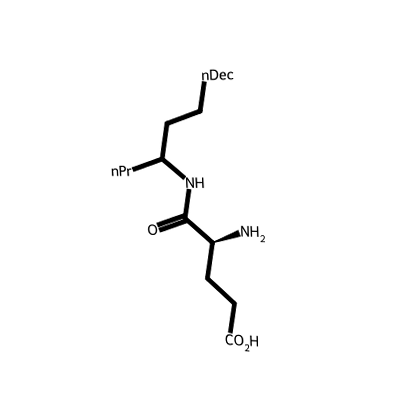 CCCCCCCCCCCCC(CCC)NC(=O)[C@@H](N)CCC(=O)O